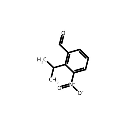 CC(C)c1c(C=O)cccc1[N+](=O)[O-]